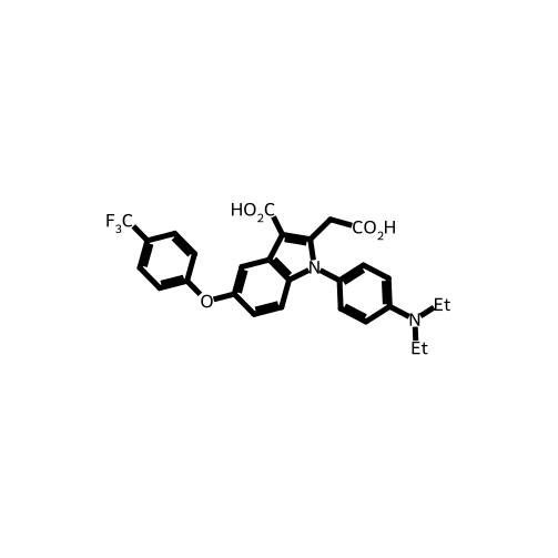 CCN(CC)c1ccc(-n2c(CC(=O)O)c(C(=O)O)c3cc(Oc4ccc(C(F)(F)F)cc4)ccc32)cc1